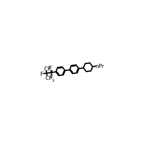 CCCC1CCC(c2ccc(-c3ccc(C(F)(F)C(F)(C(F)(F)F)C(F)(F)F)cc3)cc2)CC1